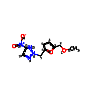 COCc1ccc(Cn2ncc([N+](=O)[O-])n2)o1